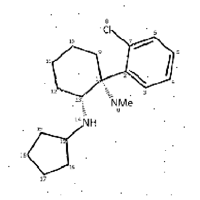 CN[C@@]1(c2ccccc2Cl)CCCC[C@H]1NC1CCCC1